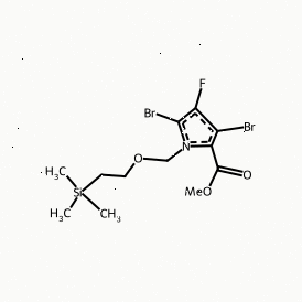 COC(=O)c1c(Br)c(F)c(Br)n1COCC[Si](C)(C)C